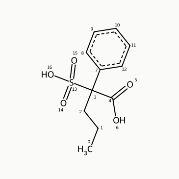 CCCC(C(=O)O)(c1ccccc1)S(=O)(=O)O